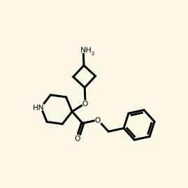 NC1CC(OC2(C(=O)OCc3ccccc3)CCNCC2)C1